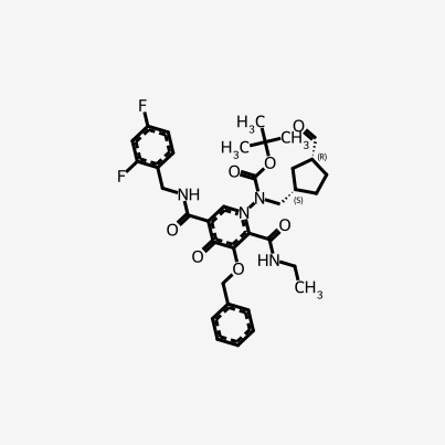 CCNC(=O)c1c(OCc2ccccc2)c(=O)c(C(=O)NCc2ccc(F)cc2F)cn1N(C[C@H]1CC[C@@H](C=O)C1)C(=O)OC(C)(C)C